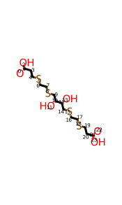 O=C(O)CCSCCSCC(O)C(O)CSCCSCCC(=O)O